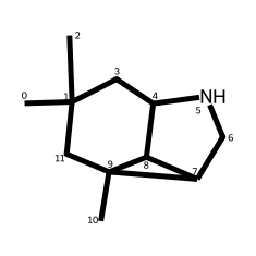 CC1(C)CC2NCC3C2C3(C)C1